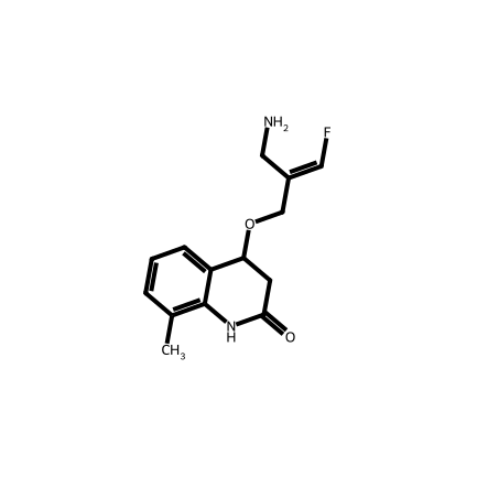 Cc1cccc2c1NC(=O)CC2OC/C(=C/F)CN